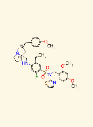 C=Cc1cc(S(=O)(=O)N(Cc2ccc(OC)cc2OC)c2nccs2)c(F)cc1NC[C@]12CCCN1C[C@@H](Cc1ccc(OC)cc1)C2